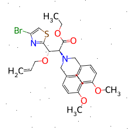 C=CCO[C@H](c1nc(Br)cs1)[C@@H](C(=O)OCC)N(Cc1ccc(OC)cc1)Cc1ccc(OC)cc1